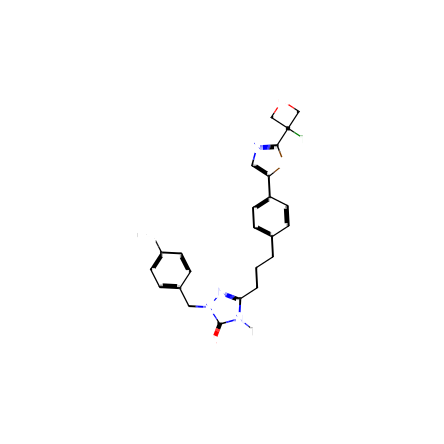 CCn1c(CCCc2ccc(-c3cnc(C4(F)COC4)s3)cc2)nn(Cc2ccc(C(C)(C)C)cc2)c1=O